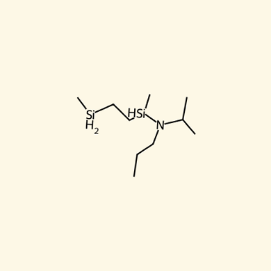 CCCN(C(C)C)[SiH](C)CC[SiH2]C